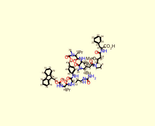 CCC(C)[C@@H](C(CC(=O)N1CCC[C@H]1[C@H](OC)[C@@H](C)C(=O)N[C@@H](Cc1ccccc1)C(=O)O)OC)N(C)C(=O)[C@@H](NC(=O)[C@H](C(C)C)N(C)C(=O)OCc1ccc(NC(=O)[C@H](CCCNC(N)=O)NC(=O)[C@@H](NC(=O)OCC2c3ccccc3-c3ccccc32)C(C)C)cc1)C(C)C